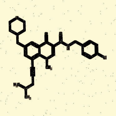 CN(C)CC#Cc1cc(CC2CCOCC2)cc2c(=O)c(C(=O)NCc3ccc(Cl)cc3)cn(C)c12